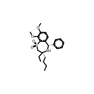 CCCC[C@]1(CC)CS(=O)(=O)c2c(ccc(OC)c2OC)[C@H](c2ccccc2)N1